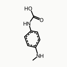 CNc1ccc(NC(=O)O)cc1